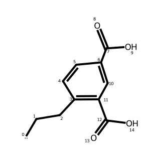 [CH]CCc1ccc(C(=O)O)cc1C(=O)O